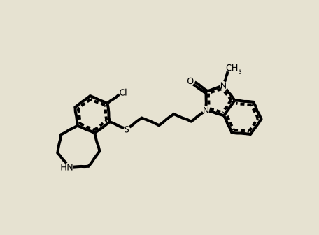 Cn1c(=O)n(CCCCSc2c(Cl)ccc3c2CCNCC3)c2ccccc21